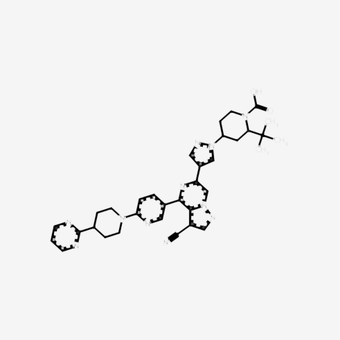 CC(C)(C)C1CC(n2cc(-c3cn4ncc(C#N)c4c(-c4ccc(N5CCC(c6ncccn6)CC5)nc4)n3)cn2)CCN1C(=O)O